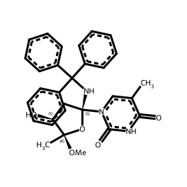 CO[C@]1(C)O[C@@](NC(c2ccccc2)(c2ccccc2)c2ccccc2)(n2cc(C)c(=O)[nH]c2=O)C[C@@H]1O